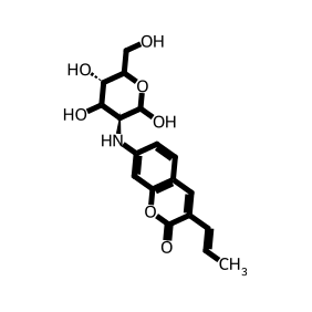 C/C=C/c1cc2ccc(N[C@@H]3C(O)OC(CO)[C@@H](O)C3O)cc2oc1=O